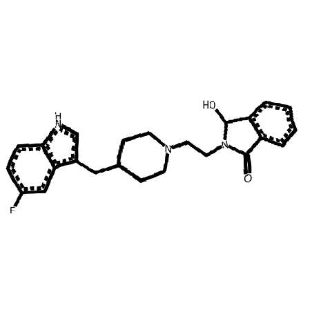 O=C1c2ccccc2C(O)N1CCN1CCC(Cc2c[nH]c3ccc(F)cc23)CC1